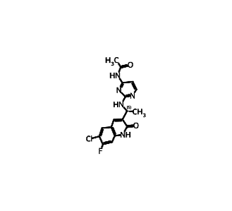 CC(=O)Nc1ccnc(N[C@@H](C)c2cc3cc(Cl)c(F)cc3[nH]c2=O)n1